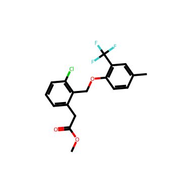 COC(=O)Cc1cccc(Cl)c1COc1ccc(C)cc1C(F)(F)F